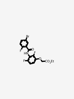 CCOC(=O)COc1ccc(F)c(NC(=O)c2cc(Br)ccc2F)c1F